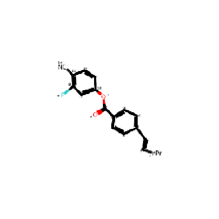 CCC/C=C/c1ccc(C(=O)Oc2ccc(C#N)c(F)c2)cc1